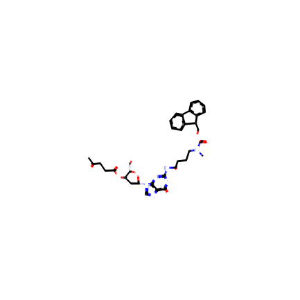 CC(=O)CCC(=O)OC1C[C@H](n2cnc3c(=O)[nH]c(NC(=O)CCCN(C)C(=O)OCC4c5ccccc5-c5ccccc54)nc32)O[C@@H]1CO